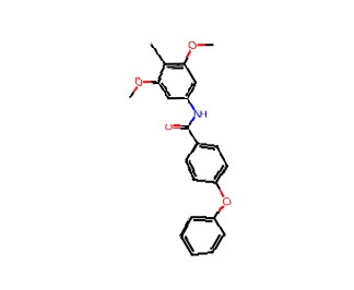 COc1cc(NC(=O)c2ccc(Oc3ccccc3)cc2)cc(OC)c1C